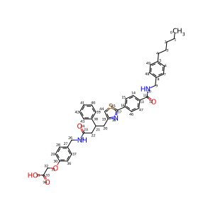 CCCCCc1ccc(CNC(=O)c2ccc(-c3nc(CC(CC(=O)NCc4ccc(OCC(=O)O)cc4)c4ccccc4)cs3)cc2)cc1